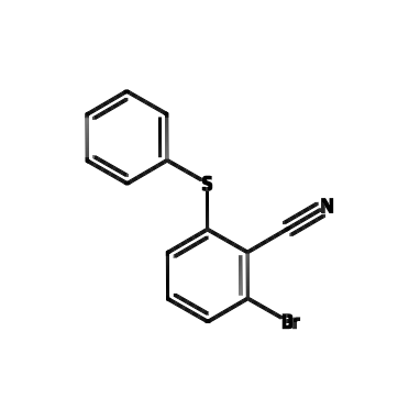 N#Cc1c(Br)cccc1Sc1ccccc1